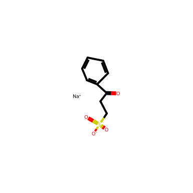 O=C(CCS(=O)(=O)[O-])c1ccccc1.[Na+]